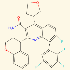 NC(=O)c1c([C@H]2CCOc3ccccc32)nc2c(-c3cc(F)cc(F)c3F)c(F)ccc2c1[C@@H]1CCOC1